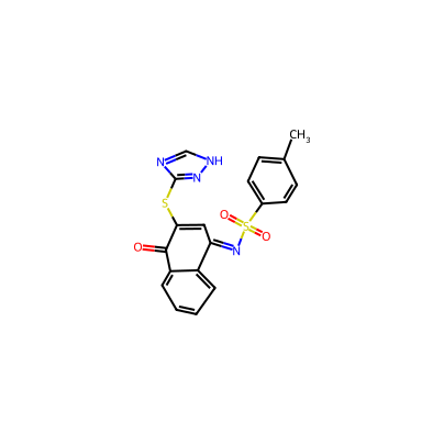 Cc1ccc(S(=O)(=O)/N=C2\C=C(Sc3nc[nH]n3)C(=O)c3ccccc32)cc1